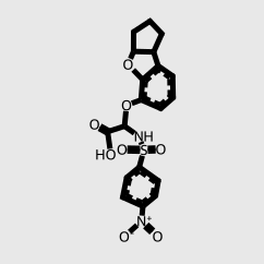 O=C(O)C(NS(=O)(=O)c1ccc([N+](=O)[O-])cc1)Oc1cccc2c1OC1CCCC21